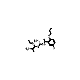 CCCOc1ccc(F)cc1C(C)N/C=N/C(=C(\C)N)N(N)CC